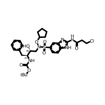 CC(C)(C)OC(=O)N[C@@H](Cc1ccccc1)[C@H](O)CN(OC1CCCC1)S(=O)(=O)c1ccc2[nH]c(NC(=O)CCCl)nc2c1